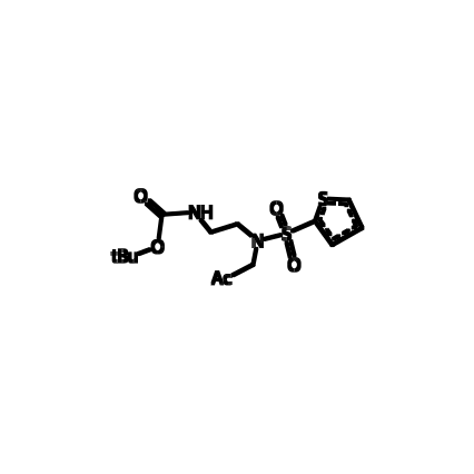 CC(=O)CN(CCNC(=O)OC(C)(C)C)S(=O)(=O)c1cccs1